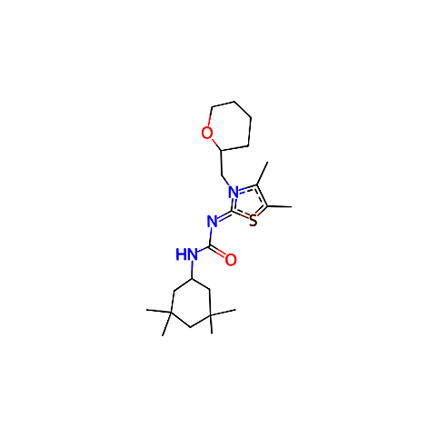 Cc1s/c(=N\C(=O)NC2CC(C)(C)CC(C)(C)C2)n(CC2CCCCO2)c1C